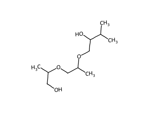 CC(CO)OCC(C)OCC(O)C(C)C